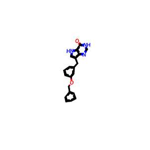 O=c1[nH]cnc2c(Cc3cccc(OCc4ccccc4)c3)c[nH]c12